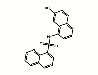 O=S(=O)(Nc1cccc2ccc(O)cc12)c1cccc2cccnc12